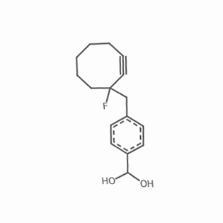 OC(O)c1ccc(CC2(F)C#CCCCCC2)cc1